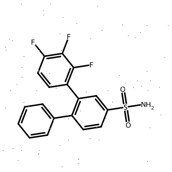 NS(=O)(=O)c1ccc(-c2ccccc2)c(-c2ccc(F)c(F)c2F)c1